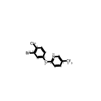 FC(F)(F)c1ccc(Oc2ccc(Cl)c(Br)c2)nc1